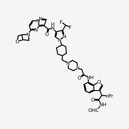 CCCC(C(=O)NC=O)c1coc2c(NC(=O)CN3CCN(CC4CCC(n5cc(NC(=O)c6cnn7ccc(N8CC9OCC98)nc67)c(C(F)F)n5)CC4)CC3)cccc12